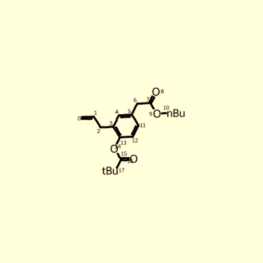 C=CCc1cc(CC(=O)OCCCC)ccc1OC(=O)C(C)(C)C